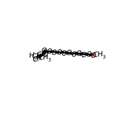 COCCOCCOCCOCCOCCOCCOCCOCCOCCOCCS(=O)(=O)CCC(C)(C)N(Cl)Cl